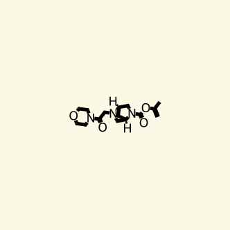 C=C(C)OC(=O)N1C[C@@H]2C[C@H]1CN2CC(=O)N1CCOCC1